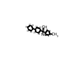 C#CC(N=O)(c1ccc(C)cc1)c1ccc(-c2ccccc2)cc1